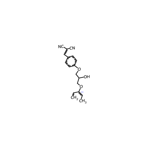 C=C/C(=C\C)OCC(O)COc1ccc(C=C(C#N)C#N)cc1